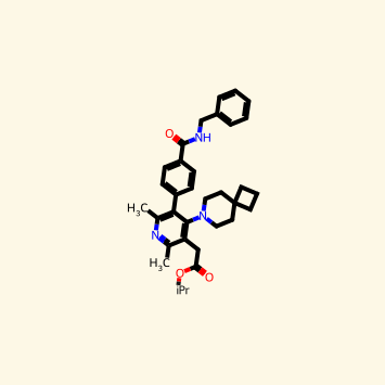 Cc1nc(C)c(-c2ccc(C(=O)NCc3ccccc3)cc2)c(N2CCC3(CCC3)CC2)c1CC(=O)OC(C)C